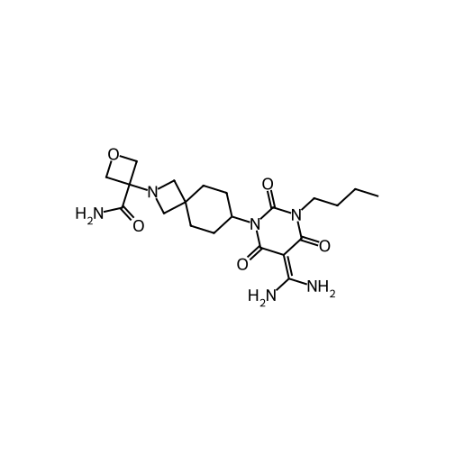 CCCCN1C(=O)C(=C(N)N)C(=O)N(C2CCC3(CC2)CN(C2(C(N)=O)COC2)C3)C1=O